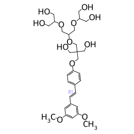 COc1cc(/C=C/c2ccc(OCC(CO)(CO)COC(COC(CO)CO)COC(CO)CO)cc2)cc(OC)c1